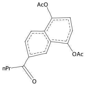 CCCC(=O)c1ccc2c(OC(C)=O)ccc(OC(C)=O)c2c1